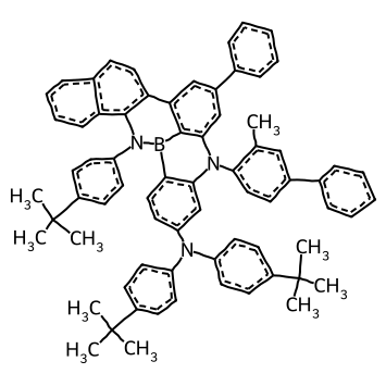 Cc1cc(-c2ccccc2)ccc1N1c2cc(N(c3ccc(C(C)(C)C)cc3)c3ccc(C(C)(C)C)cc3)ccc2B2c3c(cc(-c4ccccc4)cc31)-c1ccc3ccccc3c1N2c1ccc(C(C)(C)C)cc1